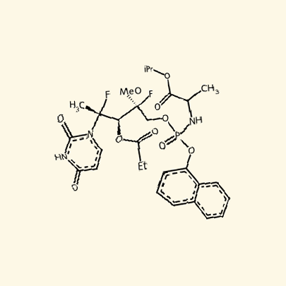 CCC(=O)O[C@H]([C@@](F)(COP(=O)(NC(C)C(=O)OC(C)C)Oc1cccc2ccccc12)OC)[C@@](C)(F)n1ccc(=O)[nH]c1=O